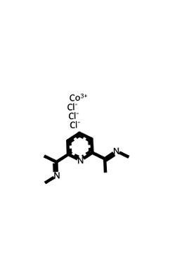 CN=C(C)c1cccc(C(C)=NC)n1.[Cl-].[Cl-].[Cl-].[Co+3]